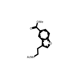 COC(=O)c1ccc2occ(CCNC(C)=O)c2c1